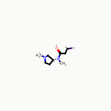 CN1CC[C@@H](N(C)C(=O)CCI)C1